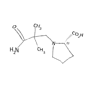 CC(C)(CN1CCC[C@H]1C(=O)O)C(N)=O